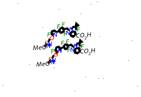 COc1nnc(COc2nc(-c3cc(F)c(Cc4nc5ccc(C(=O)O)cc5n4CC4(CF)CC4)c(F)c3F)ccc2F)s1.COc1nnc(COc2nc(-c3cc(F)c(Cc4nc5ccc(C(=O)O)cc5n4CC4(CF)CC4)c(F)c3F)ccc2F)s1